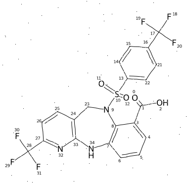 O=C(O)c1cccc2c1N(S(=O)(=O)c1ccc(C(F)(F)F)cc1)Cc1ccc(C(F)(F)F)nc1N2